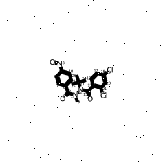 CN(C(=O)c1ccc(N=O)cc1)N(C(=O)c1ccc(Cl)cc1Cl)C(C)(C)C